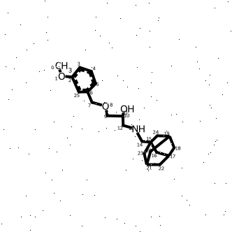 COc1cccc(COCC(O)CNCC23CC4CC(CC(C4)C2)C3)c1